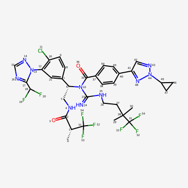 C[C@H](C(=O)NC[C@H](c1ccc(Cl)c(-n2ncnc2C(F)F)c1)N(C(=N)NCCC(C)(C)C(F)(F)F)C(=O)c1ccc(-c2cnn(C3CC3)n2)cc1)C(F)(F)F